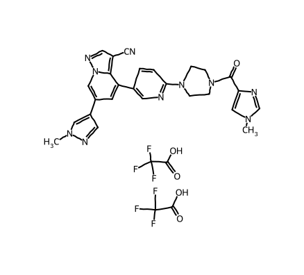 Cn1cnc(C(=O)N2CCN(c3ccc(-c4cc(-c5cnn(C)c5)cn5ncc(C#N)c45)cn3)CC2)c1.O=C(O)C(F)(F)F.O=C(O)C(F)(F)F